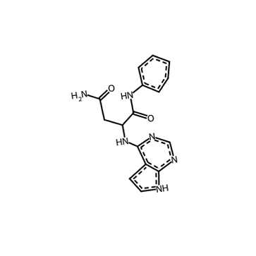 NC(=O)CC(Nc1ncnc2[nH]ccc12)C(=O)Nc1ccccc1